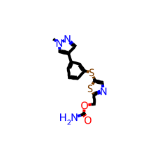 Cn1cc(-c2cccc(Sc3cnc(COC(N)=O)s3)c2)cn1